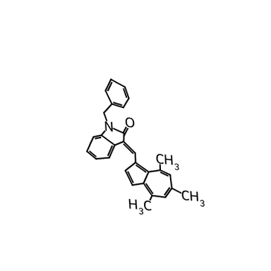 Cc1cc(C)c2ccc(/C=C3/C(=O)N(Cc4ccccc4)c4ccccc43)c-2c(C)c1